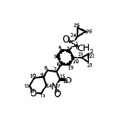 C=S(=O)(c1ccc(C(CC2CCOCC2)C(=O)N=O)cc1C1CC1)C1CC1